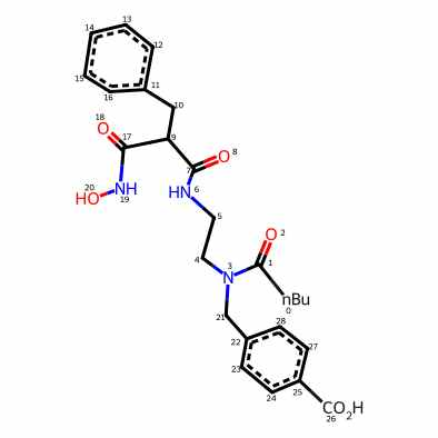 CCCCC(=O)N(CCNC(=O)C(Cc1ccccc1)C(=O)NO)Cc1ccc(C(=O)O)cc1